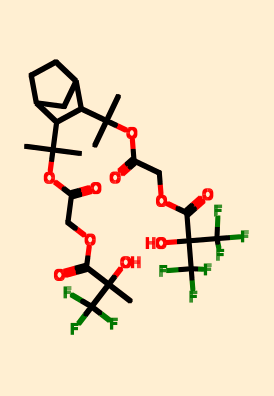 CC(C)(OC(=O)COC(=O)C(C)(O)C(F)(F)F)C1C2CCC(C2)C1C(C)(C)OC(=O)COC(=O)C(O)(C(F)(F)F)C(F)(F)F